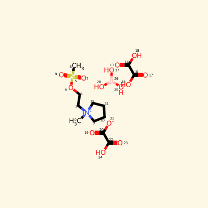 C[N+]1(CCOS(C)(=O)=O)CCCC1.O=C(O)C(=O)O.O=C([O-])C(=O)O.OB(O)O